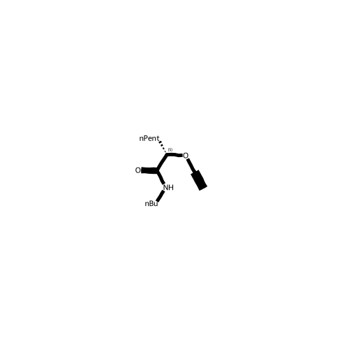 C#CO[C@@H](CCCCC)C(=O)NCCCC